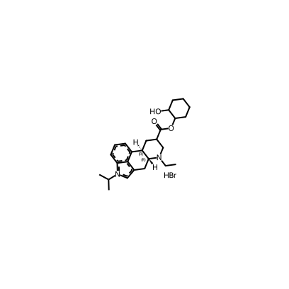 Br.CCN1CC(C(=O)OC2CCCCC2O)C[C@@H]2c3cccc4c3c(cn4C(C)C)C[C@H]21